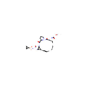 CC(C)(C)OC(=O)N[C@H]1CCCCC/C=C\[C@@H]2C[C@@]2(C(=O)NS(=O)(=O)C2CC2)NC(=O)[C@@H]2CCCN2C1=O